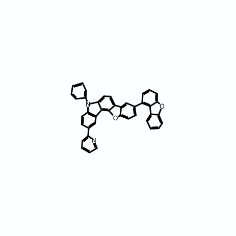 c1ccc(-n2c3ccc(-c4ccccn4)cc3c3c4oc5ccc(-c6cccc7oc8ccccc8c67)cc5c4ccc32)cc1